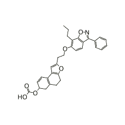 CCCc1c(OCCc2cc3c(o2)CCC2=C3C=CC(OC(=O)O)C2)ccc2c(-c3ccccc3)noc12